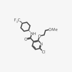 COCCOc1nc(Cl)ccc1C(=O)N[C@H]1CC[C@H](C(F)(F)F)CC1